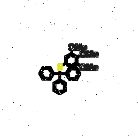 COc1cc(SC(c2ccccc2)(c2ccccc2)c2ccccc2)cc(OC)c1OC